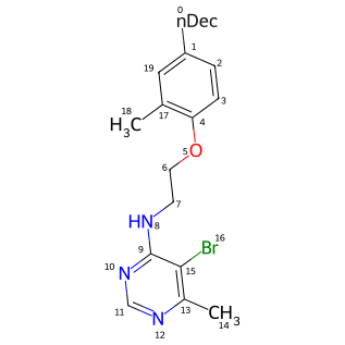 CCCCCCCCCCc1ccc(OCCNc2ncnc(C)c2Br)c(C)c1